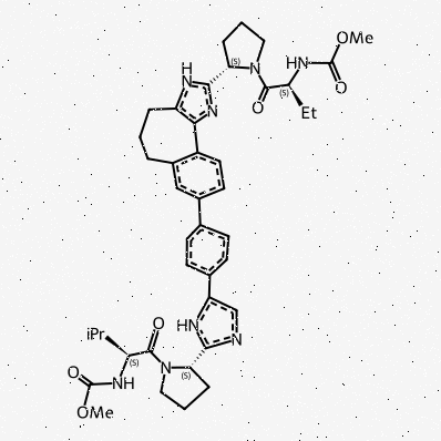 CC[C@H](NC(=O)OC)C(=O)N1CCC[C@H]1c1nc2c([nH]1)CCCc1cc(-c3ccc(-c4cnc([C@@H]5CCCN5C(=O)[C@@H](NC(=O)OC)C(C)C)[nH]4)cc3)ccc1-2